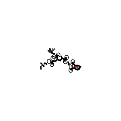 CC[N+](C)(C)CCOC(=O)C(Cl)CC(CC(C)C(=O)OCCN1C(=O)C2C3C=CC(O3)C2C1=O)C(=O)OCC[N+](C)(C)C